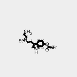 C=CCN(CC)CCc1c[nH]c2cc(OC(=O)C(C)C)ccc12